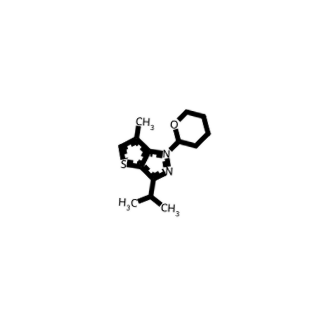 Cc1csc2c(C(C)C)nn(C3CCCCO3)c12